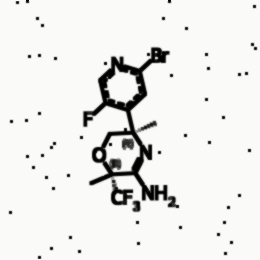 C[C@@]1(c2cc(Br)ncc2F)CO[C@@](C)(C(F)(F)F)C(N)=N1